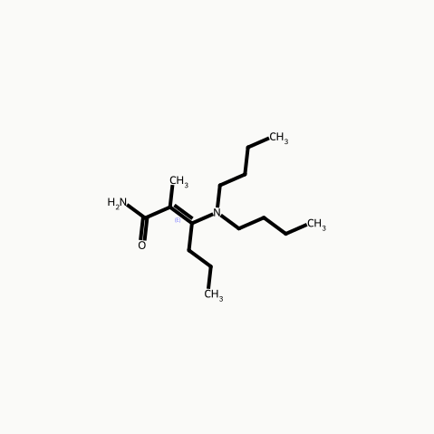 CCCCN(CCCC)/C(CCC)=C(\C)C(N)=O